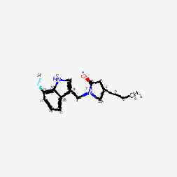 CCCC1CC(=O)N(Cc2c[nH]c3c(F)cccc23)C1